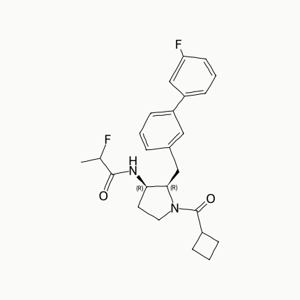 CC(F)C(=O)N[C@@H]1CCN(C(=O)C2CCC2)[C@@H]1Cc1cccc(-c2cccc(F)c2)c1